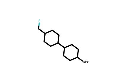 CCCC1CCC(C2CCC(CF)CC2)CC1